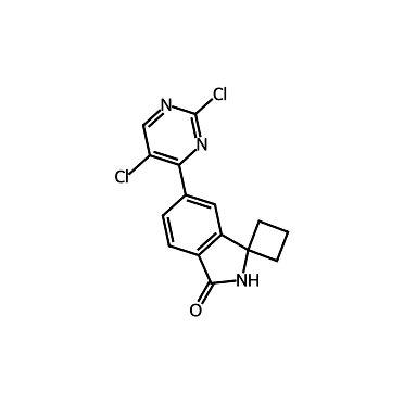 O=C1NC2(CCC2)c2cc(-c3nc(Cl)ncc3Cl)ccc21